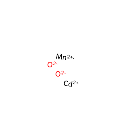 [Cd+2].[Mn+2].[O-2].[O-2]